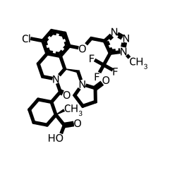 Cn1nnc(COc2ccc(Cl)c3c2[C@@H](CN2CCCC2=O)N(C(=O)C2CCCC[C@@]2(C)C(=O)O)CC3)c1C(F)(F)F